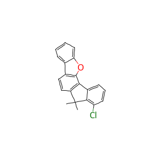 CC1(C)c2ccc3c(oc4ccccc43)c2-c2cccc(Cl)c21